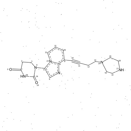 O=C1CCN(c2cnc3c(C#CCCN4CCNCC4)cccn23)C(=O)N1